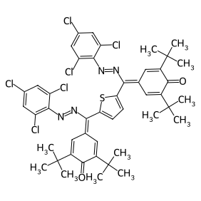 CC(C)(C)C1=CC(=C(/N=N/c2c(Cl)cc(Cl)cc2Cl)c2ccc(C(/N=N/c3c(Cl)cc(Cl)cc3Cl)=C3C=C(C(C)(C)C)C(=O)C(C(C)(C)C)=C3)s2)C=C(C(C)(C)C)C1=O